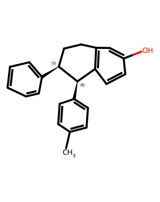 Cc1ccc([C@@H]2c3ccc(O)cc3CC[C@@H]2c2ccccc2)cc1